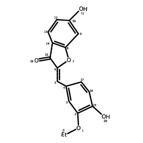 CCOc1cc(/C=C2\Oc3cc(O)ccc3C2=O)ccc1O